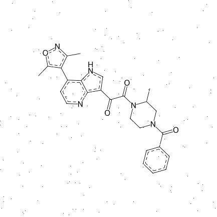 Cc1noc(C)c1-c1ccnc2c(C(=O)C(=O)N3CCN(C(=O)c4ccccc4)CC3C)c[nH]c12